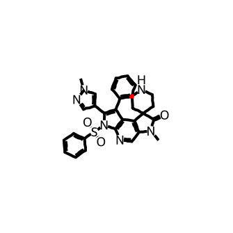 CN1C(=O)C2(CCNCC2)c2c1cnc1c2c(-c2ccccc2)c(-c2cnn(C)c2)n1S(=O)(=O)c1ccccc1